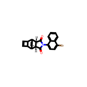 O=C1[C@@H]2C3C=CC(C4C=CC43)[C@@H]2C(=O)N1c1ccc(Br)c2ccccc12